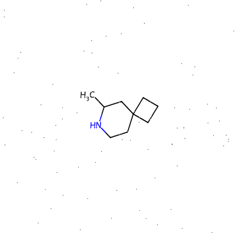 CC1CC2(CCC2)CCN1